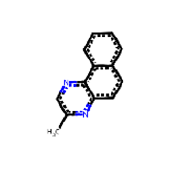 Cc1cnc2c(ccc3ccccc32)n1